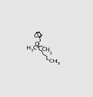 CCCCCCC(C)(CC)OCc1ccco1